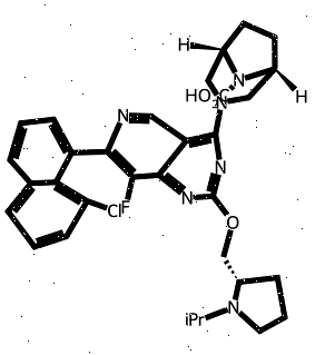 CC(C)N1CCC[C@H]1COc1nc(N2C[C@H]3CC[C@@H](C2)N3C(=O)O)c2cnc(-c3cccc4cccc(Cl)c34)c(F)c2n1